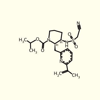 C=C(C)c1cccc(C[C@@H]2[C@H](NS(=O)(=O)CC#N)CCCN2C(=O)OC(C)C)n1